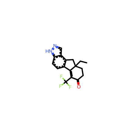 CCC12CCC(=O)C(C(F)(F)F)=C1c1ccc3[nH]ncc3c1C2